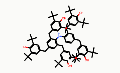 C=C(/C=C(\C=C(/CO)C(C)(C)C)Cc1cc(Cc2cc(C(C)(C)C)c(O)c(C(C)(C)C)c2)cc(Cc2cc(C(C)(C)C)c(O)c(C(C)(C)C)c2)c1Nc1ccc(Cc2cc(C(C)(C)C)c(O)c(C(C)(C)C)c2)cc1Cc1cc(C(C)(C)C)c(O)c(C(C)(C)C)c1)C(C)(C)C